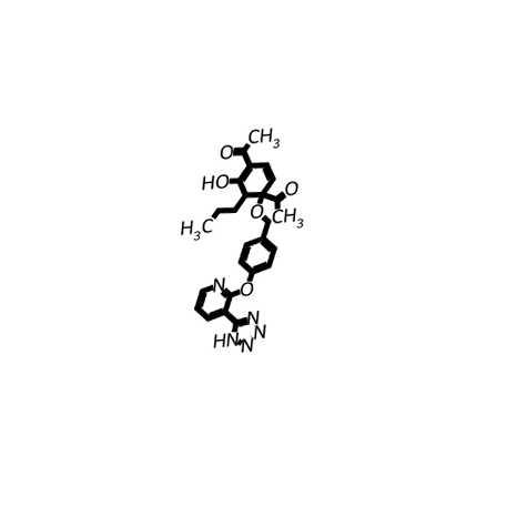 CCCC1C(O)=C(C(C)=O)C=CC1(OCc1ccc(Oc2ncccc2-c2nnn[nH]2)cc1)C(C)=O